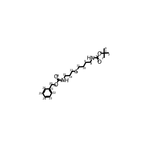 CC(C)(C)OC(=O)NCCCCSCCCNC(=O)OCc1ccccc1